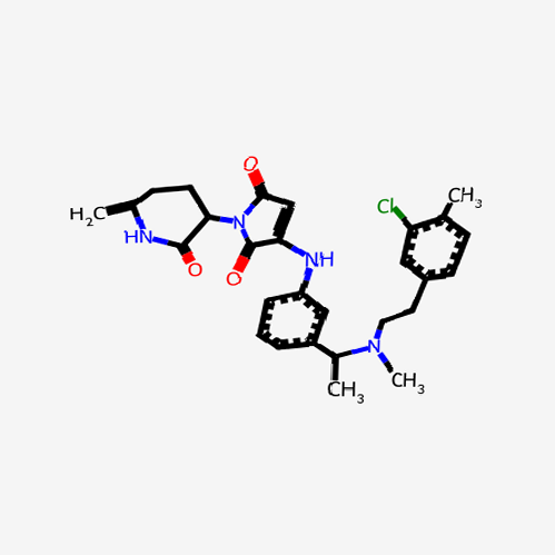 C=C1CCC(N2C(=O)C=C(Nc3cccc(C(C)N(C)CCc4ccc(C)c(Cl)c4)c3)C2=O)C(=O)N1